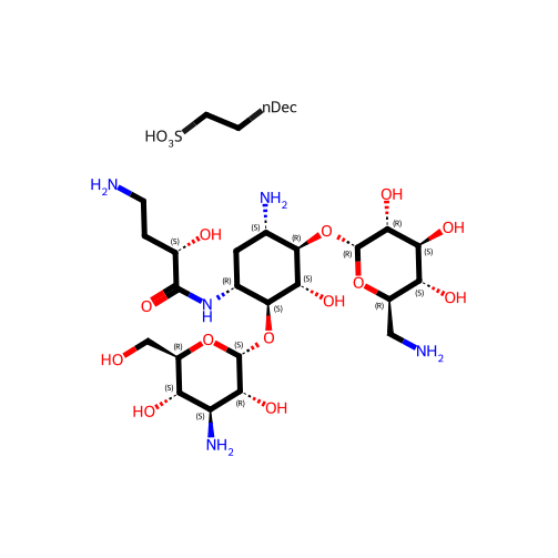 CCCCCCCCCCCCS(=O)(=O)O.NCC[C@H](O)C(=O)N[C@@H]1C[C@H](N)[C@@H](O[C@H]2O[C@H](CN)[C@@H](O)[C@H](O)[C@H]2O)[C@H](O)[C@H]1O[C@H]1O[C@H](CO)[C@@H](O)[C@H](N)[C@H]1O